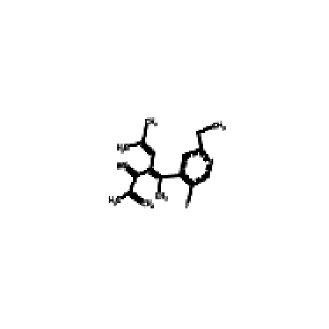 C=C(C)C(=N)/C(C=C(C)C)=C(\C)c1cc(CC)ncc1F